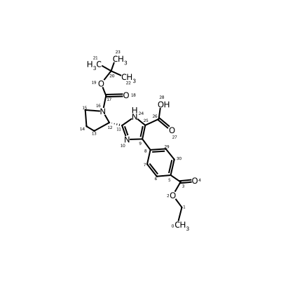 CCOC(=O)c1ccc(-c2nc([C@@H]3CCCN3C(=O)OC(C)(C)C)[nH]c2C(=O)O)cc1